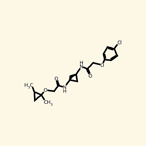 CC1CC1(C)OCC(=O)NC12CC(NC(=O)COc3ccc(Cl)cc3)(C1)C2